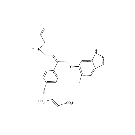 C=CCN(CC)CC=C(COc1cc2[nH]ncc2cc1F)c1ccc(Br)cc1.O=C(O)C=CC(=O)O